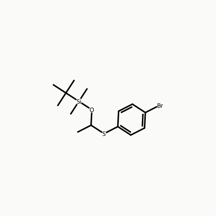 CC(O[Si](C)(C)C(C)(C)C)Sc1ccc(Br)cc1